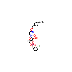 Cc1ccc(CCOc2ccn([C@@H]3O[C@@H]4COP(=S)(Oc5ccccc5Cl)OC4C3O)c(=O)n2)cc1